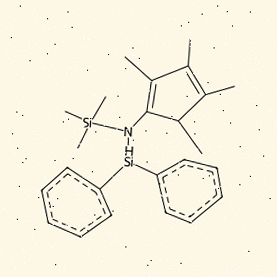 CC1=C(C)C(C)C(N([SiH](c2ccccc2)c2ccccc2)[Si](C)(C)C)=C1C